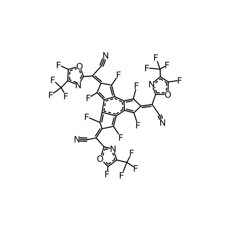 N#CC(=C1C(F)=c2c3c(c4c(c2=C1F)=C(F)C(=C(C#N)c1nc(C(F)(F)F)c(F)o1)C=4F)=C(F)C(=C(C#N)c1nc(C(F)(F)F)c(F)o1)C=3F)c1nc(C(F)(F)F)c(F)o1